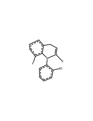 CCc1ccccc1N1C(F)=CCc2cccc(F)c21